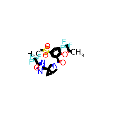 CCS(=O)(=O)c1ccc(OC(C)C(F)(F)F)c(C(=O)N2CC3CC3(c3noc(C(F)(F)F)n3)C2)c1